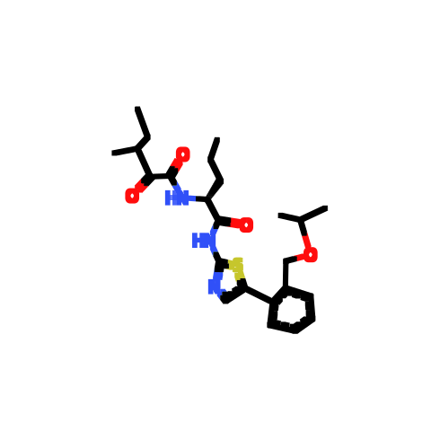 CCC[C@H](NC(=O)C(=O)C(C)CC)C(=O)Nc1ncc(-c2ccccc2COC(C)C)s1